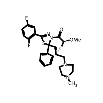 CO[C@@H](C)C(=O)N1N=C(c2cc(F)ccc2F)SC1(CCCN1CCN(C)CC1)c1ccccc1